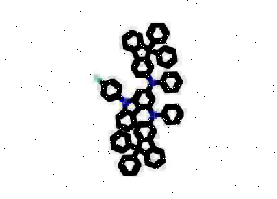 Fc1ccc(-n2c3ccccc3c3c(N(c4ccccc4)c4ccc5c(c4)-c4ccccc4C5(c4ccccc4)c4ccccc4)cc(N(c4ccccc4)c4ccc5c(c4)C(c4ccccc4)(c4ccccc4)c4ccccc4-5)cc32)cc1